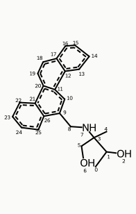 CC(O)C(C)(CO)NCc1cc2c3ccccc3ccc2c2ccccc12